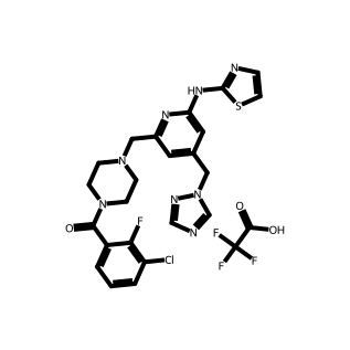 O=C(O)C(F)(F)F.O=C(c1cccc(Cl)c1F)N1CCN(Cc2cc(Cn3cncn3)cc(Nc3nccs3)n2)CC1